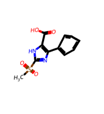 CS(=O)(=O)c1nc(-c2ccccc2)c(C(=O)O)[nH]1